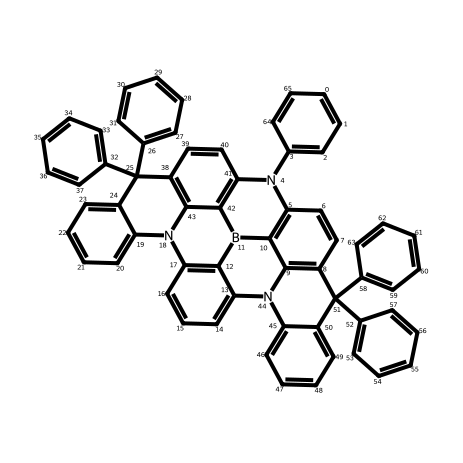 c1ccc(N2c3ccc4c5c3B3c6c(cccc6N6c7ccccc7C(c7ccccc7)(c7ccccc7)c7ccc2c3c76)N5c2ccccc2C4(c2ccccc2)c2ccccc2)cc1